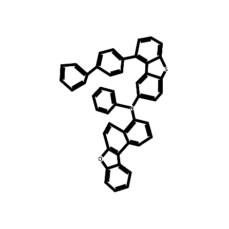 c1ccc(-c2ccc(-c3cccc4sc5ccc(N(c6ccccc6)c6cccc7c6ccc6oc8ccccc8c67)cc5c34)cc2)cc1